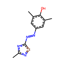 Cc1nsc(/N=N/c2cc(C)c(O)c(C)c2)n1